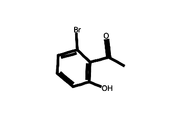 CC(=O)c1c(O)cccc1Br